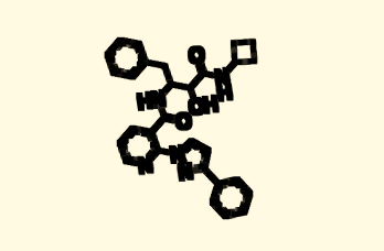 O=C(NC(Cc1ccccc1)C(O)C(=O)NC1CCC1)c1cccnc1-n1ccc(-c2ccccc2)n1